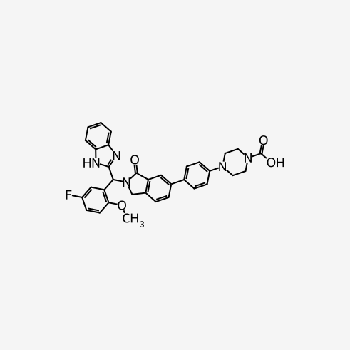 COc1ccc(F)cc1C(c1nc2ccccc2[nH]1)N1Cc2ccc(-c3ccc(N4CCN(C(=O)O)CC4)cc3)cc2C1=O